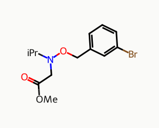 COC(=O)CN(OCc1cccc(Br)c1)C(C)C